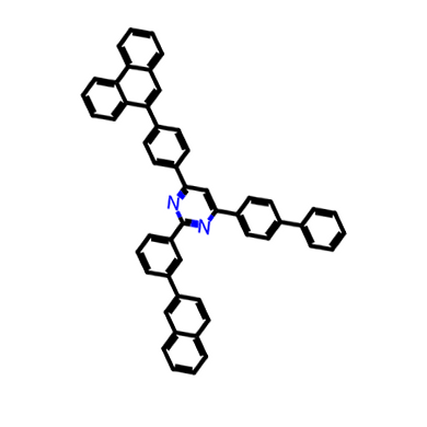 c1ccc(-c2ccc(-c3cc(-c4ccc(-c5cc6ccccc6c6ccccc56)cc4)nc(-c4cccc(-c5ccc6ccccc6c5)c4)n3)cc2)cc1